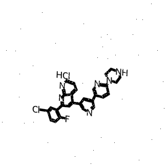 Cl.Fc1ccc(Cl)cc1-c1cc(-c2cncc(-c3ccc(N4CCNCC4)nc3)c2)c2cccnc2n1